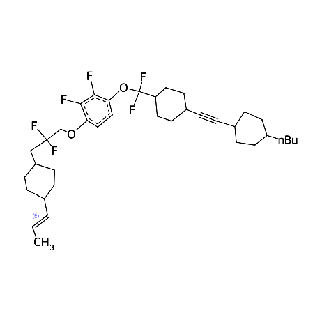 C/C=C/C1CCC(CC(F)(F)COc2ccc(OC(F)(F)C3CCC(C#CC4CCC(CCCC)CC4)CC3)c(F)c2F)CC1